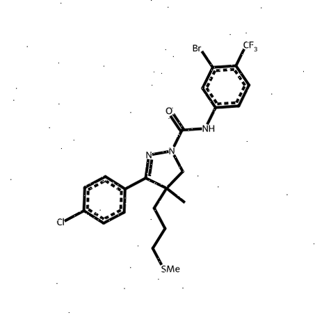 CSCCCC1(C)CN(C(=O)Nc2ccc(C(F)(F)F)c(Br)c2)N=C1c1ccc(Cl)cc1